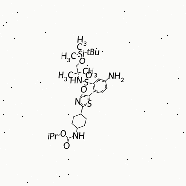 CC(C)OC(=O)NC1CCC(c2ncc(-c3ccc(N)cc3S(=O)(=O)NC(C)(C)CO[Si](C)(C)C(C)(C)C)s2)CC1